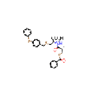 C[C@H](CSC(=O)c1ccccc1)C(=O)N[C@@H](CSCc1ccc(Sc2ccccc2)cc1)C(=O)O